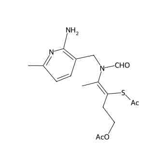 CC(=O)OCC/C(SC(C)=O)=C(\C)N(C=O)Cc1ccc(C)nc1N